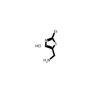 CCc1ncc(CN)s1.Cl